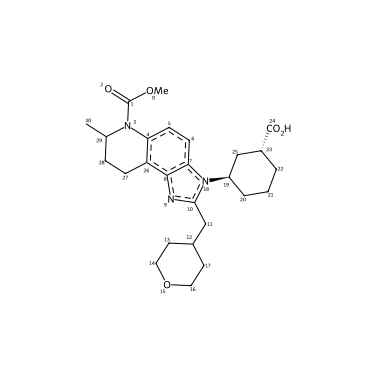 COC(=O)N1c2ccc3c(nc(CC4CCOCC4)n3[C@@H]3CCC[C@@H](C(=O)O)C3)c2CCC1C